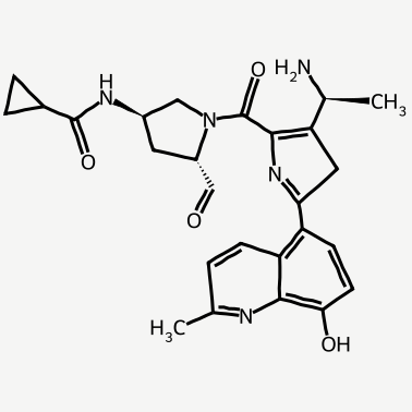 Cc1ccc2c(C3=NC(C(=O)N4C[C@H](NC(=O)C5CC5)C[C@H]4C=O)=C([C@H](C)N)C3)ccc(O)c2n1